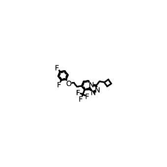 Fc1ccc(OCCc2ccn3c(CC4CCC4)nnc3c2C(F)(F)F)c(F)c1